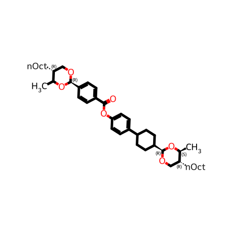 CCCCCCCC[C@@H]1CO[C@@H](c2ccc(C(=O)Oc3ccc(C4CCC([C@@H]5OC[C@@H](CCCCCCCC)[C@H](C)O5)CC4)cc3)cc2)OC1C